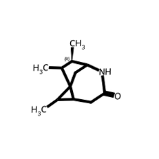 CC1C2CC(=O)NC3CC12C(C)[C@H]3C